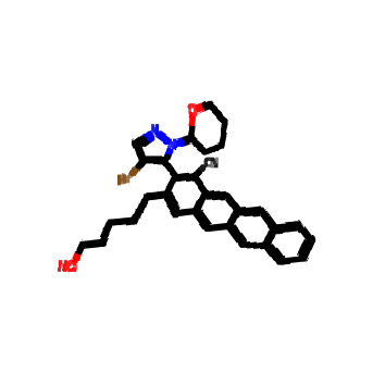 N#Cc1c(-c2c(Br)cnn2C2CCCCO2)c(CCCCCO)cc2cc3cc4ccccc4cc3cc12